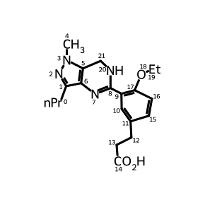 CCCc1nn(C)c2c1N=C(c1cc(CCC(=O)O)ccc1OCC)NC2